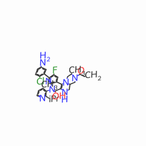 C=CC(=O)N1CC2CNC3=C(c4cc(F)c(-c5cc(N)ccc5Cl)nc4N(c4c(C)ccnc4C(C)C)C3O)N2CC1C